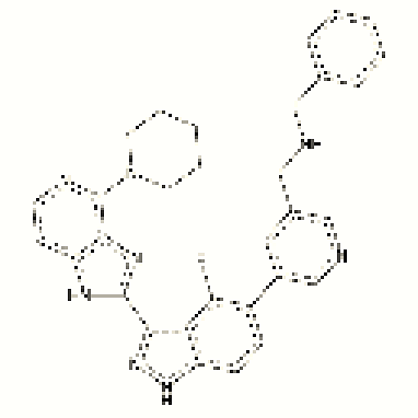 Fc1c(-c2cncc(CNCc3ccccc3)c2)ccc2[nH]nc(-c3nc4c(N5CCCCC5)nccc4[nH]3)c12